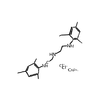 Cc1cc(C)c(NCCNCCNc2c(C)cc(C)cc2C)c(C)c1.[Cl-].[Cl-].[Cu+2]